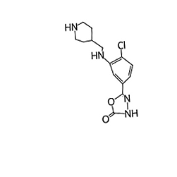 O=c1[nH]nc(-c2ccc(Cl)c(NCC3CCNCC3)c2)o1